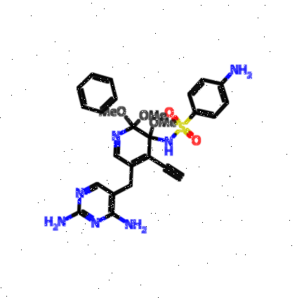 C#CC1=C(Cc2cnc(N)nc2N)C=NC(OC)(OC)C1(NS(=O)(=O)c1ccc(N)cc1)OC.c1ccccc1